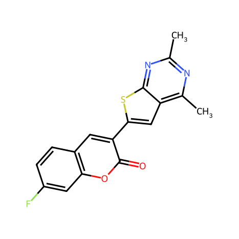 Cc1nc(C)c2cc(-c3cc4ccc(F)cc4oc3=O)sc2n1